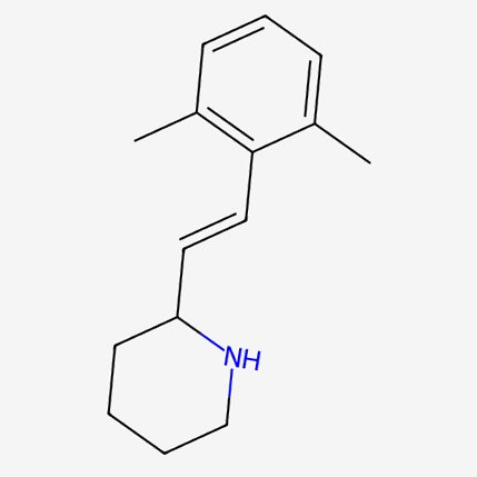 Cc1cccc(C)c1C=CC1CCCCN1